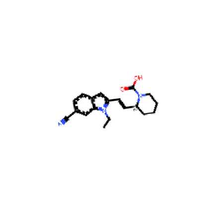 CCn1c(C=C[C@@H]2CCCCN2C(=O)O)cc2ccc(C#N)cc21